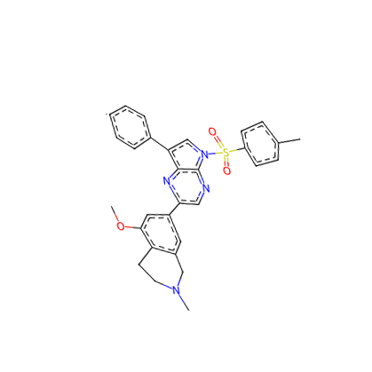 COc1cc(-c2cnc3c(n2)c(-c2cc[c]cc2)cn3S(=O)(=O)c2ccc(C)cc2)cc2c1CCN(C)C2